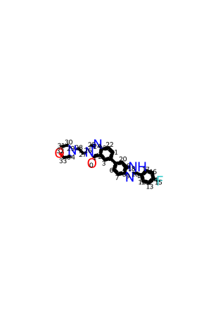 O=c1c2cc(-c3ccc4nc(-c5ccc(F)cc5)[nH]c4c3)ccc2ncn1CCN1CCOCC1